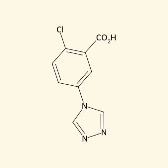 O=C(O)c1cc(-n2cnnc2)ccc1Cl